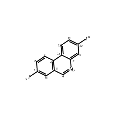 Ic1ccc2c(cnc3cc(I)ccc32)c1